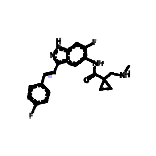 CNCC1(C(=O)Nc2cc3c(/C=C/c4ccc(F)cc4)n[nH]c3cc2F)CC1